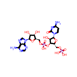 Nc1ccn([C@@H]2O[C@H](COP(=O)(O)O)[C@@H](OP(=O)(O)OC[C@H]3O[C@@H](n4cnc5c(N)ncnc54)[C@H](O)[C@@H]3O)[C@H]2O)c(=O)n1